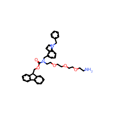 NCCOCCOCCOCCN(Cc1cccc2c1ccn2Cc1ccccc1)C(=O)OCC1c2ccccc2-c2ccccc21